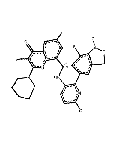 Cc1cc([C@H](C)Nc2ccc(Cl)nc2-c2cc(F)c3c(c2)COB3O)c2oc(N3CCCCC3)c(C)c(=O)c2c1